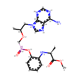 CC(C)OC(=O)[C@H](C)Nc1ccccc1O[P@H](=O)COC(C)Cn1cnc2c(N)ncnc21